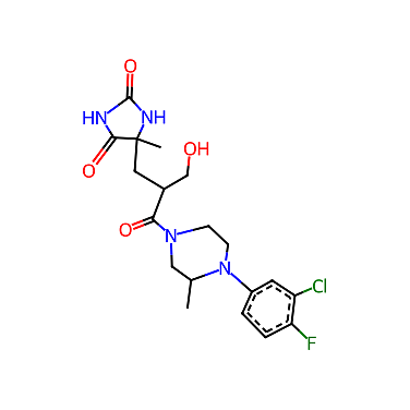 CC1CN(C(=O)C(CO)CC2(C)NC(=O)NC2=O)CCN1c1ccc(F)c(Cl)c1